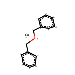 [Cu].c1ccc(COCc2ccccc2)cc1